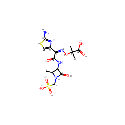 CC1C(NC(=O)C(=NOC(C)(C)C(=O)O)c2csc(N)n2)C(=O)N1CS(=O)(=O)O